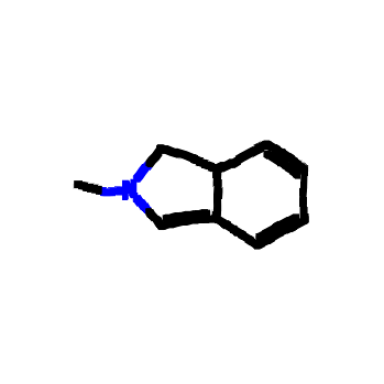 CN1C=C2C=CC=CC2C1